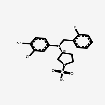 CCS(=O)(=O)N1CC[C@H](N(Cc2ccccc2F)c2ccc(C#N)c(Cl)c2)C1